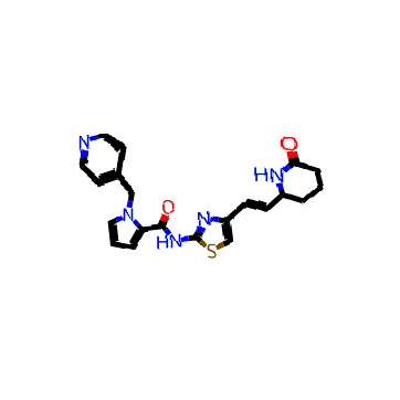 O=C1CCCC(C=Cc2csc(NC(=O)c3cccn3Cc3ccncc3)n2)N1